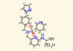 CC(C)C(Nc1cccc(CN(Cc2ccc(-n3cccn3)cc2)S(=O)(=O)c2cccnc2)n1)C(=O)O